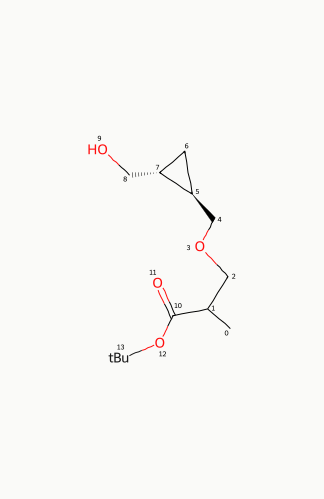 CC(COC[C@@H]1C[C@H]1CO)C(=O)OC(C)(C)C